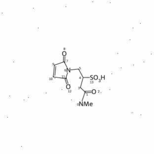 CNC(=O)CC(CN1C(=O)C=CC1=O)S(=O)(=O)O